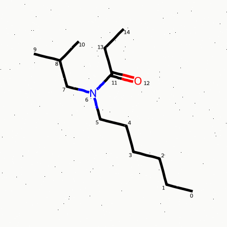 CCCCCCN(CC(C)C)C(=O)CC